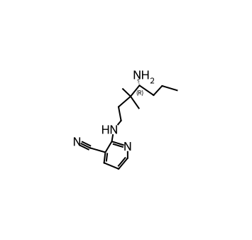 CCC[C@@H](N)C(C)(C)CCNc1ncccc1C#N